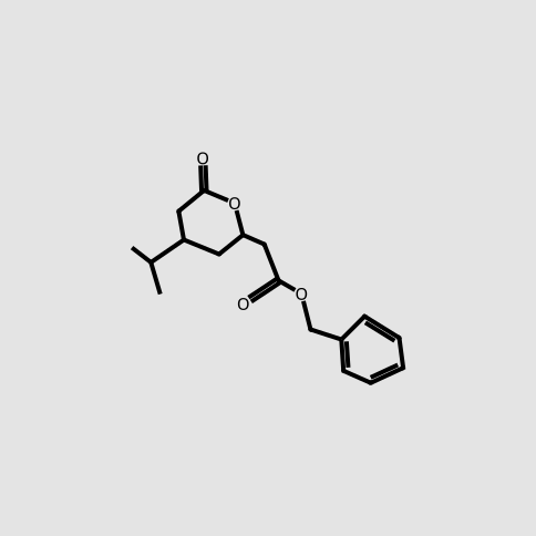 CC(C)C1CC(=O)OC(CC(=O)OCc2ccccc2)C1